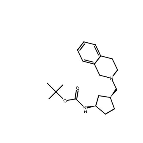 CC(C)(C)OC(=O)N[C@@H]1CC[C@H](CN2CCc3ccccc3C2)C1